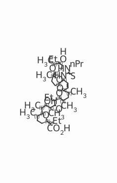 CCCNC(=S)N[C@@H]1C=C[C@]2(O[C@H](C(CC)C(=O)[C@@H](C)[C@@H](O)[C@H](C)[C@@H]3O[C@@H]([C@@H](CC)C(=O)O)CC[C@@H]3C)[C@@H](C)C[C@H]2C)O[C@@]12CC[C@@](C)([C@H]1CC[C@](O)(CC)[C@H](C)O1)O2